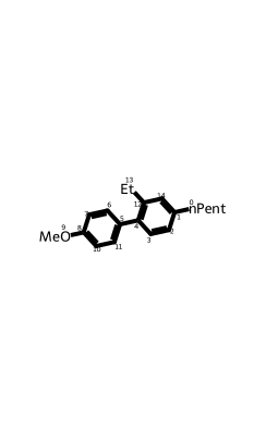 CCCCCc1ccc(-c2ccc(OC)cc2)c(CC)c1